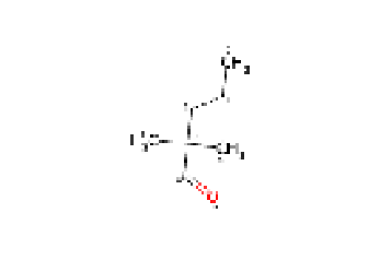 CCCC(C)(C)C=O